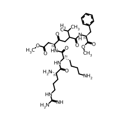 COC(=O)C[C@H](NC(=O)[C@H](CCCCN)NC(=O)[C@@H](N)CCCNC(=N)N)C(=O)CC(C(=O)N[C@@H](Cc1ccccc1)C(=O)OC)C(C)C